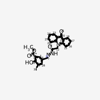 CO[N+](=O)c1cc(/C=N/NC(=O)Cn2c3ccccc3c(=O)c3ccccc32)cc(I)c1O